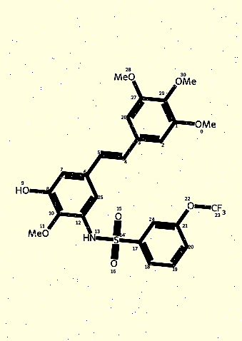 COc1cc(C=Cc2cc(O)c(OC)c(NS(=O)(=O)c3cccc(OC(F)(F)F)c3)c2)cc(OC)c1OC